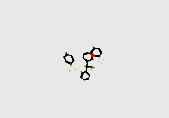 Cc1ccc(S(=O)(=O)Oc2ccccc2C(F)(c2ccccc2OS(=O)(=O)c2ccc(C)cc2)C(F)(F)C(F)(F)F)cc1